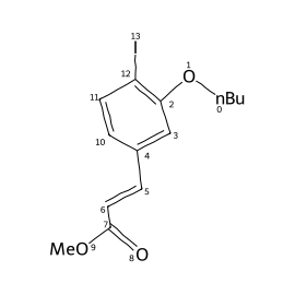 CCCCOc1cc(C=CC(=O)OC)ccc1I